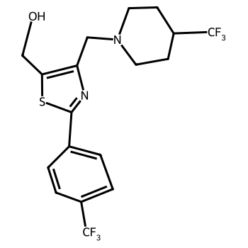 OCc1sc(-c2ccc(C(F)(F)F)cc2)nc1CN1CCC(C(F)(F)F)CC1